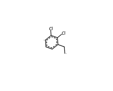 [CH2]Cc1cc[c]c(Cl)c1Cl